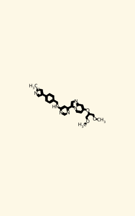 COCC(COC)Oc1ccn2c(-c3cc(NCc4ccc(-c5cnn(C)c5)cc4)ncn3)cnc2c1